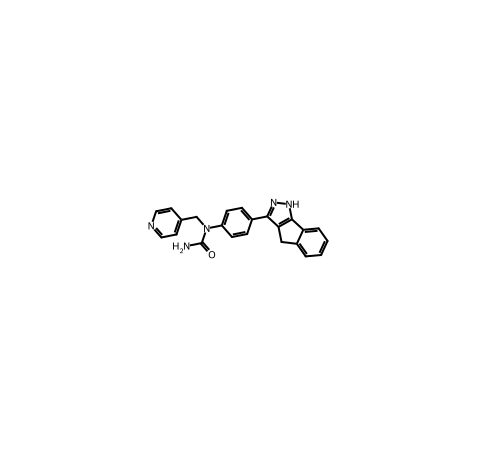 NC(=O)N(Cc1ccncc1)c1ccc(-c2n[nH]c3c2Cc2ccccc2-3)cc1